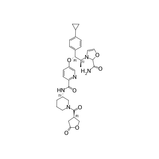 C[C@@H]([C@H](Oc1ccc(C(=O)N[C@H]2CCCN(C(=O)[C@H]3COC(=O)C3)C2)nc1)c1ccc(C2CC2)cc1)N1C=COC1C(N)=O